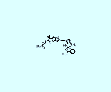 C[C@@H](OC(=O)Nc1c(C#Cc2cc3sc(C4(C(=O)OCOC(=O)C(C)(C)C)CC4)cc3s2)cnn1C)c1ccccc1